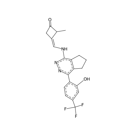 CC1C(=O)C/C1=C/Nc1nnc(-c2ccc(C(F)(F)F)cc2O)c2c1CCC2